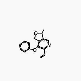 C=Cc1ncc2c(c1Oc1ccccc1)COC2C